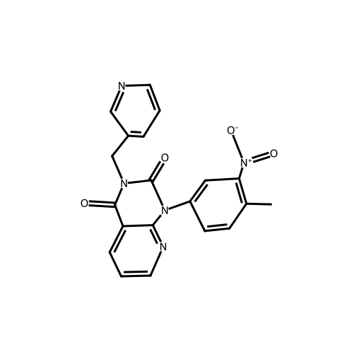 Cc1ccc(-n2c(=O)n(Cc3cccnc3)c(=O)c3cccnc32)cc1[N+](=O)[O-]